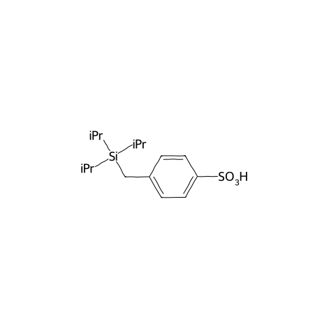 CC(C)[Si](Cc1ccc(S(=O)(=O)O)cc1)(C(C)C)C(C)C